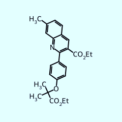 CCOC(=O)c1cc2ccc(C)cc2nc1-c1ccc(OC(C)(C)C(=O)OCC)cc1